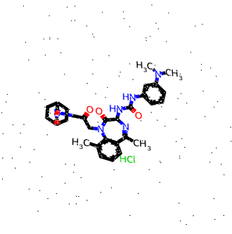 CC1=NC(NC(=O)Nc2cccc(N(C)C)c2)C(=O)N(CC(=O)N2CC3CCC(CC3)C2)c2c(C)cccc21.Cl